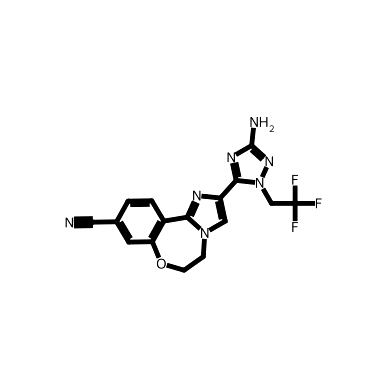 N#Cc1ccc2c(c1)OCCn1cc(-c3nc(N)nn3CC(F)(F)F)nc1-2